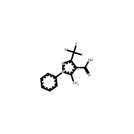 Cc1c(C(=O)O)c(C(F)(F)F)nn1-c1ccccc1